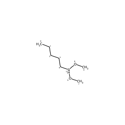 CCCCC[SiH](OC)OC